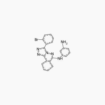 Nc1cccc(Nc2nn3c(-c4ccccc4Br)nnc3c3ccccc23)c1